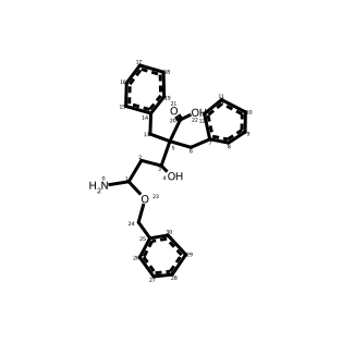 NC(CC(O)C(Cc1ccccc1)(Cc1ccccc1)C(=O)O)OCc1ccccc1